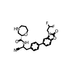 N#CC(Cc1ccc(-c2ccc3oc(=O)n(CC(F)F)c3c2)cc1)NC(=O)[C@@H]1CNCCCO1